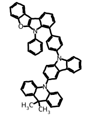 CC1(C)c2ccccc2N(c2ccc3c(c2)c2ccccc2n3-c2ccc(-c3cccc4c5c6ccccc6oc5n(-c5ccccc5)c34)cc2)c2ccccc21